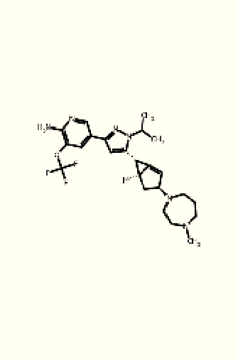 CC(C)n1nc(-c2cnc(N)c(OC(F)(F)F)c2)cc1[C@@H]1C2=C[C@@H](N3CCCN(C)CC3)C[C@H]21